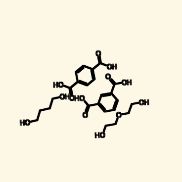 O=C(O)c1ccc(C(=O)O)cc1.O=C(O)c1cccc(C(=O)O)c1.OCCCCO.OCCOCCO